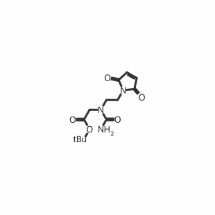 CC(C)(C)OC(=O)CN(CCN1C(=O)C=CC1=O)C(N)=O